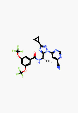 C[C@H](NC(=O)c1cc(OC(F)(F)F)cc(OC(F)(F)F)c1)c1nc(C2CC2)nn1-c1cc(C#N)ncn1